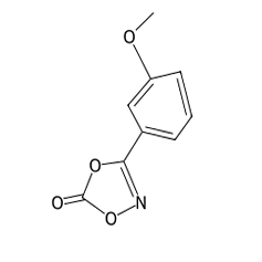 COc1cccc(-c2noc(=O)o2)c1